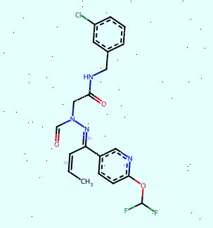 C/C=C\C(=N/N(C=O)CC(=O)NCc1cccc(Cl)c1)c1ccc(OC(F)F)nc1